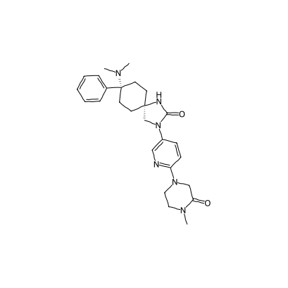 CN1CCN(c2ccc(N3C[C@]4(CC[C@@](c5ccccc5)(N(C)C)CC4)NC3=O)cn2)CC1=O